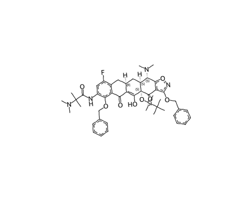 CN(C)[C@@H]1c2onc(OCc3ccccc3)c2C(=O)[C@@]2(O[Si](C)(C)C(C)(C)C)C(O)=C3C(=O)c4c(c(F)cc(NC(=O)C(C)(C)N(C)C)c4OCc4ccccc4)C[C@H]3C[C@@H]12